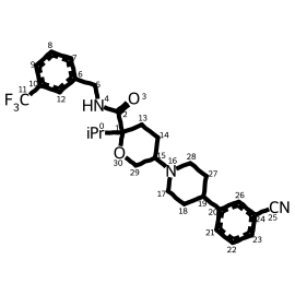 CC(C)C1(C(=O)NCc2cccc(C(F)(F)F)c2)CCC(N2CCC(c3cccc(C#N)c3)CC2)CO1